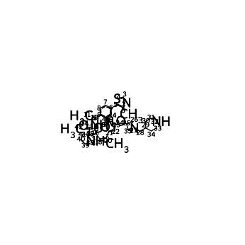 Cc1ncsc1-c1ccc([C@H](C)NC(=O)[C@@]2(C(=O)CC(C)c3cc(OC4CN(CC5CCNCC5)C4)no3)NCCC2C)cc1